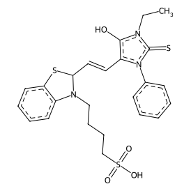 CCn1c(O)c(C=CC2Sc3ccccc3N2CCCCS(=O)(=O)O)n(-c2ccccc2)c1=S